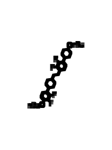 CCCCOc1ccc(C2CCC(CCc3ccc(C4CCC(OCCCC)CC4)c(F)c3F)CC2)c(F)c1F